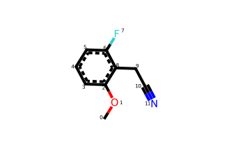 COc1cccc(F)c1CC#N